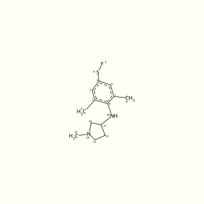 Cc1cc(SF)cc(C)c1NC1CCN(C)C1